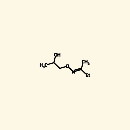 CCC(C)=NOCC(C)O